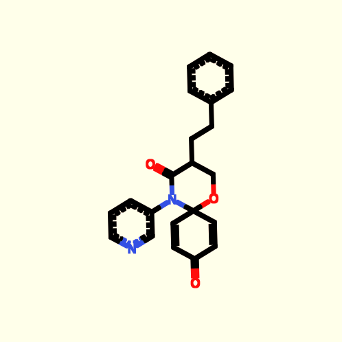 O=C1C=CC2(C=C1)OCC(CCc1ccccc1)C(=O)N2c1cccnc1